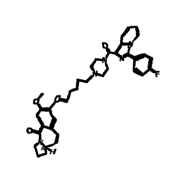 COc1cc2c(cc1OCCCCCN1CCN(C(=O)c3nc(-c4ccc(F)cc4)n4ccccc34)CC1)C=C[C@@H]1CCCN1C2=O